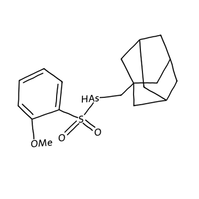 COc1ccccc1S(=O)(=O)[AsH]CC12CC3CC(CC(C3)C1)C2